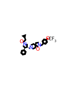 O=C(CC1CC1)N1C[C@H](CN2CCC3(CC2)CCN(Cc2ccc(OC(F)(F)F)cc2)C3=O)[C@@H](c2ccccc2)C1